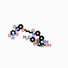 Cc1ccc(S(=O)(=O)N2CC[C@@H]3[C@H](CO)Nc4ccc(-c5cccc(NC(=O)CCCCOc6cccc7c6CN(C6CCC(=O)NC6=O)C7=O)c5)cc4[C@@H]32)cc1